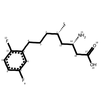 C[C@@H](CCCc1cc(F)ccc1F)C[C@H](N)CC(=O)O